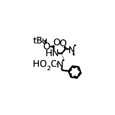 CN(C)C(=O)[C@H](CN(Cc1ccccc1)C(=O)O)NC(=O)OC(C)(C)C